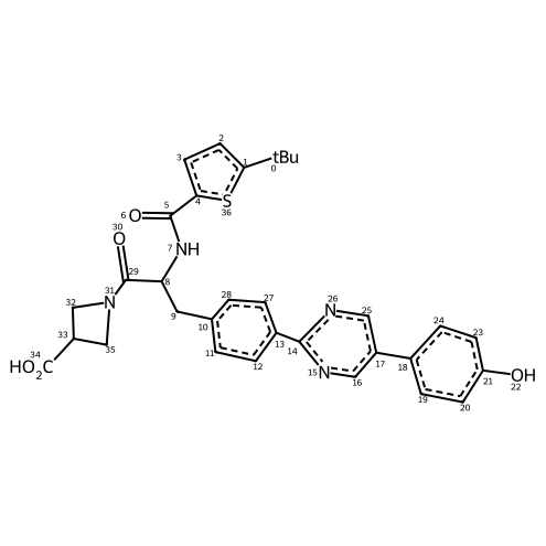 CC(C)(C)c1ccc(C(=O)NC(Cc2ccc(-c3ncc(-c4ccc(O)cc4)cn3)cc2)C(=O)N2CC(C(=O)O)C2)s1